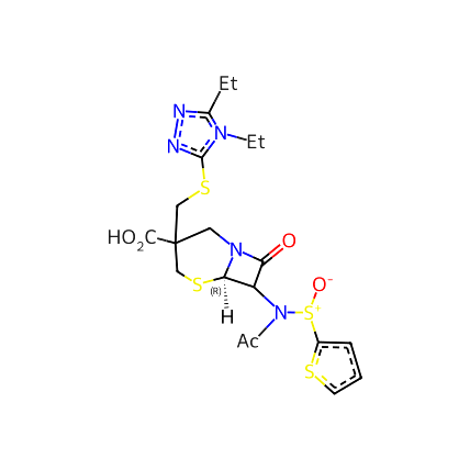 CCc1nnc(SCC2(C(=O)O)CS[C@@H]3C(N(C(C)=O)[S+]([O-])c4cccs4)C(=O)N3C2)n1CC